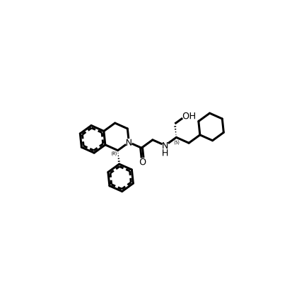 O=C(CN[C@H](CO)CC1CCCCC1)N1CCc2ccccc2[C@H]1c1ccccc1